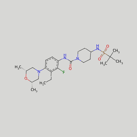 CCc1c(N2C[C@@H](C)O[C@@H](C)C2)ccc(NC(=O)N2CCC(NS(=O)(=O)C(C)(C)C)CC2)c1F